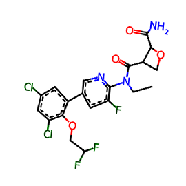 CCN(C(=O)C1COC1C(N)=O)c1ncc(-c2cc(Cl)cc(Cl)c2OCC(F)F)cc1F